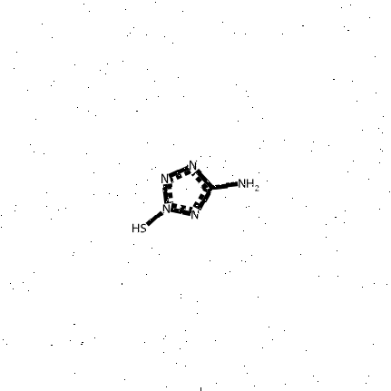 Nc1nnn(S)n1